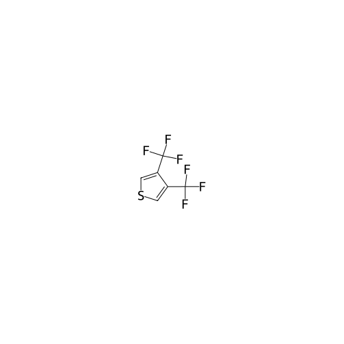 FC(F)(F)c1cscc1C(F)(F)F